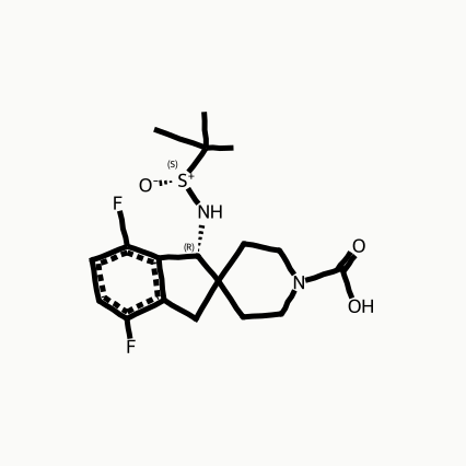 CC(C)(C)[S@@+]([O-])N[C@H]1c2c(F)ccc(F)c2CC12CCN(C(=O)O)CC2